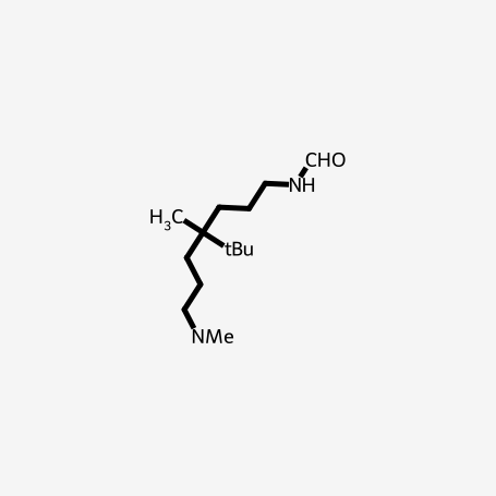 CNCCCC(C)(CCCNC=O)C(C)(C)C